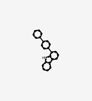 c1ccc(-c2ccc(-c3cccc4c3[nH]c3ccccc34)cc2)cc1